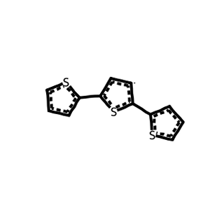 [c]1cc(-c2cccs2)sc1-c1cccs1